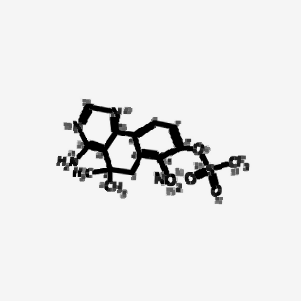 CC1(C)Cc2c(ccc(OS(=O)(=O)C(F)(F)F)c2[N+](=O)[O-])-c2ncnc(N)c21